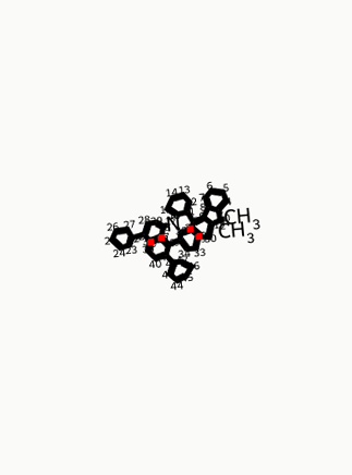 CC1(C)c2ccccc2-c2c(-c3ccccc3N(c3ccc(-c4ccccc4)cc3)c3ccccc3-c3ccccc3-c3ccccc3)cccc21